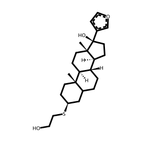 C[C@]12CC[C@H](SCCO)CC1CC[C@@H]1[C@@H]2CC[C@@]2(C)[C@H]1CC[C@@]2(O)c1ccoc1